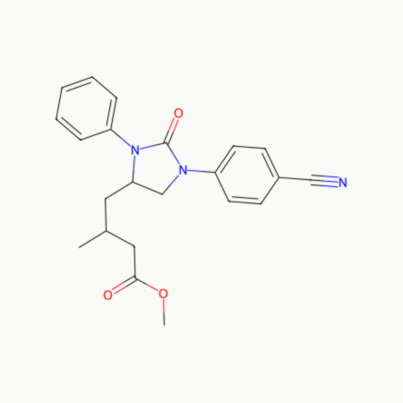 COC(=O)CC(C)CC1CN(c2ccc(C#N)cc2)C(=O)N1c1ccccc1